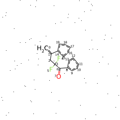 C=C(CC(F)(F)C(=O)c1ccccc1)c1ccccc1